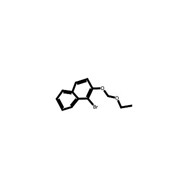 CCOCOc1ccc2ccccc2c1Br